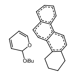 CC(C)COC1C=CC=CO1.c1ccc2c(c1)ccc1c3c(ccc12)CCCC3